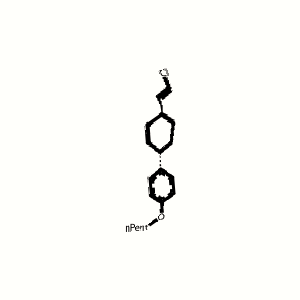 CCCCCOc1ccc([C@H]2CC[C@H](/C=C/Cl)CC2)cc1